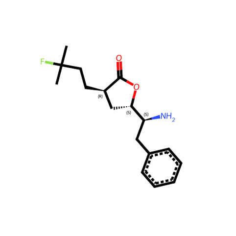 CC(C)(F)CC[C@@H]1C[C@@H]([C@@H](N)Cc2ccccc2)OC1=O